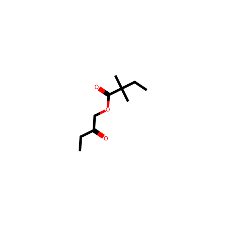 CCC(=O)COC(=O)C(C)(C)CC